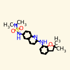 CN(C)S(=O)(=O)Nc1ccc2nc(Nc3cccc4c3OC(C)(C)C4)ccc2c1